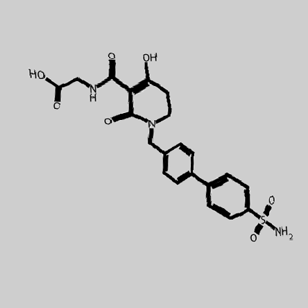 NS(=O)(=O)c1ccc(-c2ccc(CN3CCC(O)=C(C(=O)NCC(=O)O)C3=O)cc2)cc1